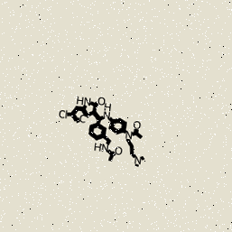 CC(=O)NCc1cccc(/C(Nc2ccc(N(CCCN(C)C)C(C)=O)cc2)=C2/C(=O)Nc3cc(Cl)ccc32)c1